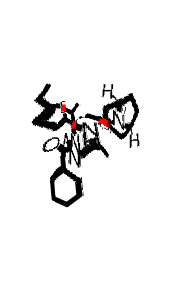 CCc1ccc([C@H](CCN2[C@@H]3CC[C@H]2C[C@H](n2c(C)nnc2C(C)C)C3)NC(=O)C2CCCCC2)s1